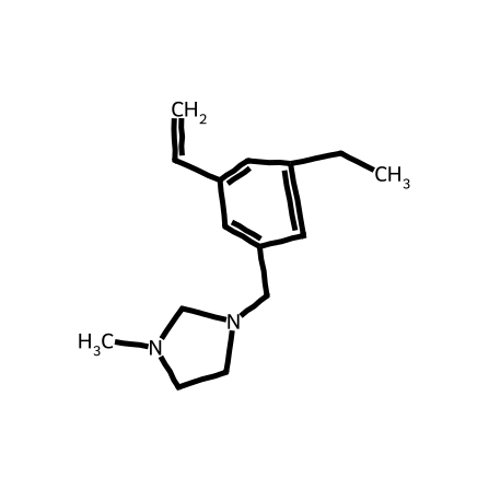 C=Cc1cc(CC)cc(CN2CCN(C)C2)c1